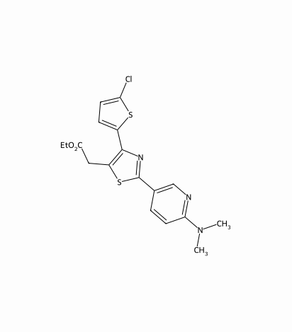 CCOC(=O)Cc1sc(-c2ccc(N(C)C)nc2)nc1-c1ccc(Cl)s1